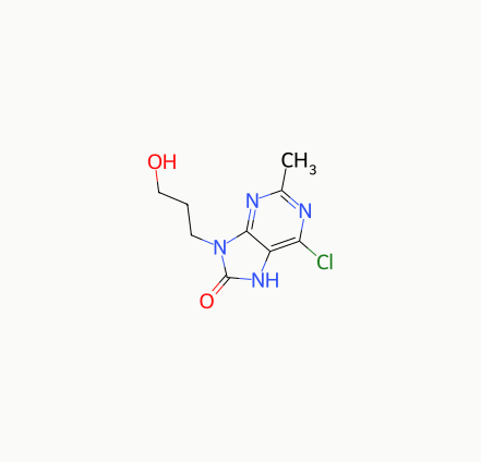 Cc1nc(Cl)c2[nH]c(=O)n(CCCO)c2n1